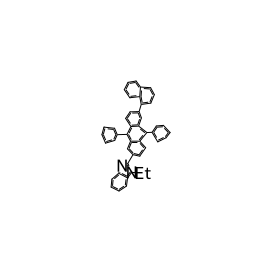 CCn1c(-c2ccc3c(-c4ccccc4)c4cc(-c5cccc6ccccc56)ccc4c(-c4ccccc4)c3c2)nc2ccccc21